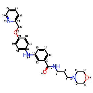 O=C(NCCCN1CCOCC1)c1cccc(Nc2ccc(OCc3ccccn3)cc2)c1